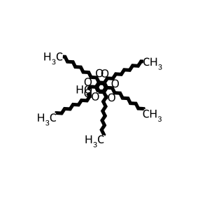 CCCCCCCCCC(=O)Oc1c(C(=O)O)c(C(=O)CCCCCCCCC)c(C(=O)CCCCCCCCC)c(C(=O)CCCCCCCCC)c1C(=O)CCCCCCCCC